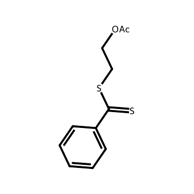 CC(=O)OCCSC(=S)c1ccccc1